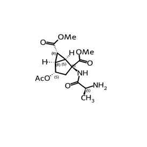 COC(=O)[C@H]1[C@H]2[C@@H]1[C@](NC(=O)[C@H](C)N)(C(=O)OC)C[C@@H]2OC(C)=O